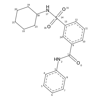 O=C(Nc1ccccc1)c1cccc(S(=O)(=O)NC2CCCCC2)c1